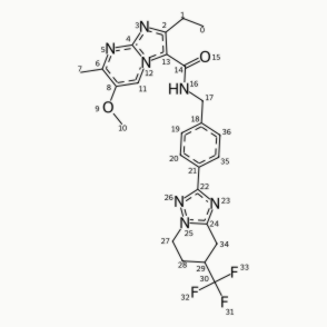 CCc1nc2nc(C)c(OC)cn2c1C(=O)NCc1ccc(-c2nc3n(n2)CCC(C(F)(F)F)C3)cc1